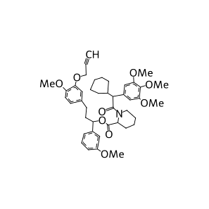 C#CCOc1cc(CCC(OC(=O)C2CCCCN2C(=O)C(c2cc(OC)c(OC)c(OC)c2)C2CCCCC2)c2cccc(OC)c2)ccc1OC